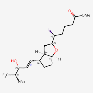 CCCC[C@H]([C@H](O)/C=C/[C@H]1CC[C@@H]2O[C@H]([C@@H](I)CCCC(=O)OC)C[C@@H]21)C(F)(F)F